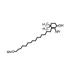 CCCC1=C(CCCCCCCCCCCCCCCOC)C(C)(C)CCC1O